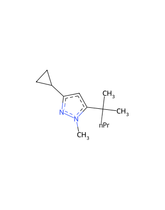 CCCC(C)(C)c1cc(C2CC2)nn1C